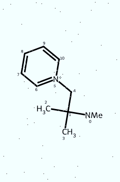 CNC(C)(C)C[n+]1ccccc1